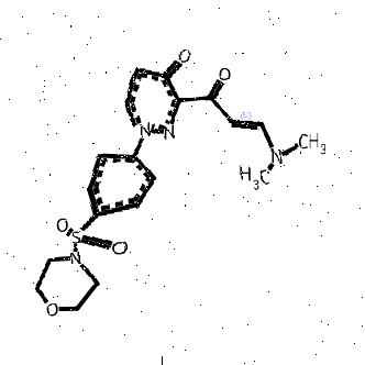 CN(C)/C=C/C(=O)c1nn(-c2ccc(S(=O)(=O)N3CCOCC3)cc2)ccc1=O